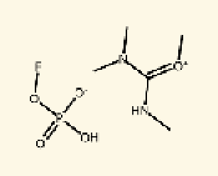 CNC(=[O+]C)N(C)C.O=P([O-])(O)OF